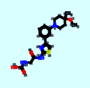 COC1(C)CCN(c2cccc(-c3csc(NC(=O)CNC(=O)O)n3)c2)CC1